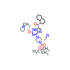 CN1CCC[C@H]1COc1nc(N2CCN(C(=O)OC(C)(C)C)[C@@H](CC#N)C2)c2ncc(C(=O)c3cccc4ccccc34)n2n1